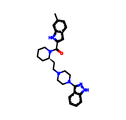 Cc1ccc2cc(C(=O)N3CCCC[C@H]3CCN3CCN(c4n[nH]c5ccccc45)CC3)[nH]c2c1